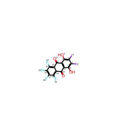 O=C1c2c(O)c(I)c(I)c(O)c2C(=O)c2c(F)c(F)c(F)c(F)c21